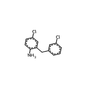 Nc1ccc(Cl)cc1Cc1cccc(Cl)c1